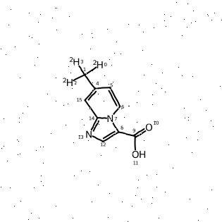 [2H]C([2H])([2H])c1ccn2c(C(=O)O)cnc2c1